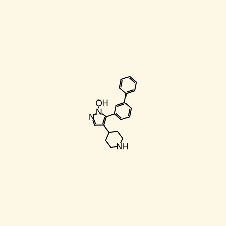 On1ncc(C2CCNCC2)c1-c1cccc(-c2ccccc2)c1